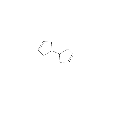 C1=CCC(C2CC=CC2)C1